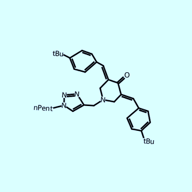 CCCCCn1cc(CN2CC(=Cc3ccc(C(C)(C)C)cc3)C(=O)C(=Cc3ccc(C(C)(C)C)cc3)C2)nn1